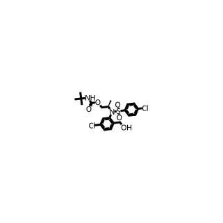 C[C@H](COC(=O)NC(C)(C)C)N(c1cc(Cl)ccc1CO)S(=O)(=O)c1ccc(Cl)cc1